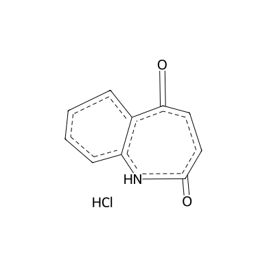 Cl.O=c1ccc(=O)c2ccccc2[nH]1